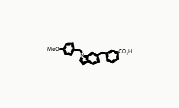 COc1ccc(Cn2ccc3ccc(Cc4cccc(C(=O)O)c4)cc32)cc1